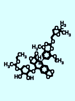 CCOC(C)OC1COC(OC2c3cc4c(cc3[C@@H](c3cc(OC)c(OC(=O)OCC5COC(C)(C)O5)c(OC)c3)[C@H]3C(=O)OCC23)OCO4)C(O)C1O